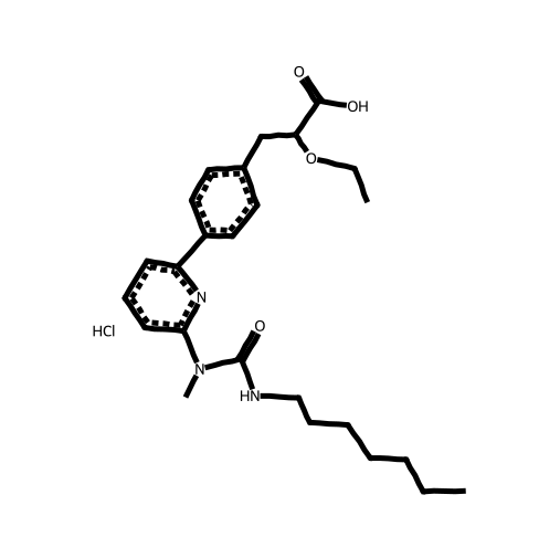 CCCCCCCNC(=O)N(C)c1cccc(-c2ccc(CC(OCC)C(=O)O)cc2)n1.Cl